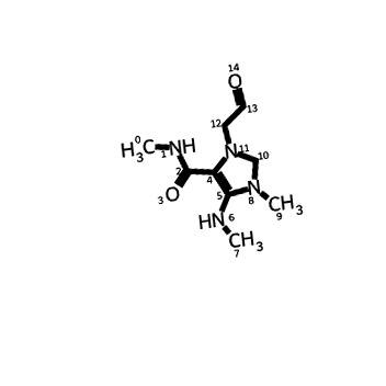 CNC(=O)C1=C(NC)N(C)CN1CC=O